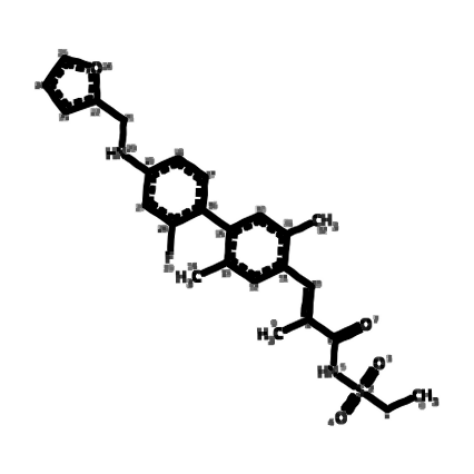 CCS(=O)(=O)NC(=O)/C(C)=C/c1cc(C)c(-c2ccc(NCc3ccco3)cc2F)cc1C